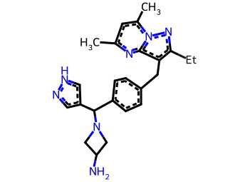 CCc1nn2c(C)cc(C)nc2c1Cc1ccc(C(c2cn[nH]c2)N2CC(N)C2)cc1